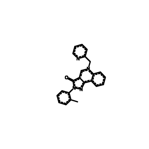 Cc1ccccc1-n1nc2c3ccccc3n(Cc3ccccn3)cc-2c1=O